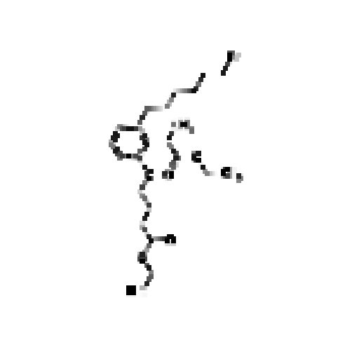 CCOC(=O)CCCOc1cccc(CCCCCCBr)c1C(C)C(=O)OCC